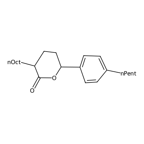 CCCCCCCCC1CCC(c2ccc(CCCCC)cc2)OC1=O